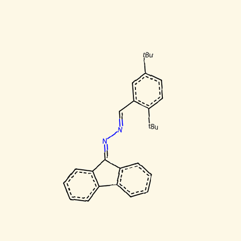 CC(C)(C)c1ccc(C(C)(C)C)c(/C=N/N=C2c3ccccc3-c3ccccc32)c1